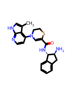 Cc1c[nH]c2nccc(N3C=C(C(=O)N[C@H]4c5ccccc5C[C@@H]4N)SCC3)c12